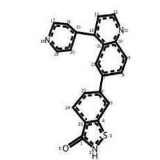 O=c1[nH]sc2cc(-c3ccc4nccc(-c5ccncc5)c4c3)ccc12